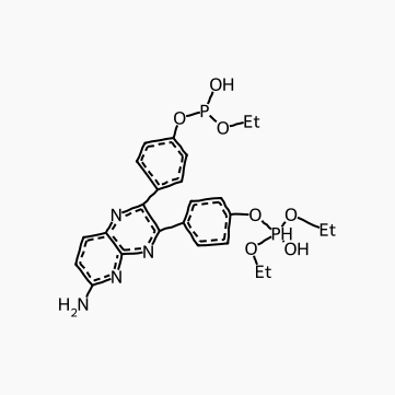 CCOP(O)Oc1ccc(-c2nc3ccc(N)nc3nc2-c2ccc(O[PH](O)(OCC)OCC)cc2)cc1